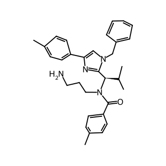 Cc1ccc(C(=O)N(CCCN)[C@@H](c2nc(-c3ccc(C)cc3)cn2Cc2ccccc2)C(C)C)cc1